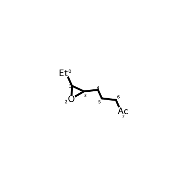 CCC1OC1CCCC(C)=O